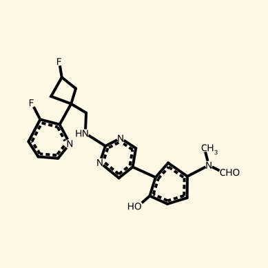 CN(C=O)c1ccc(O)c(-c2cnc(NCC3(c4ncccc4F)CC(F)C3)nc2)c1